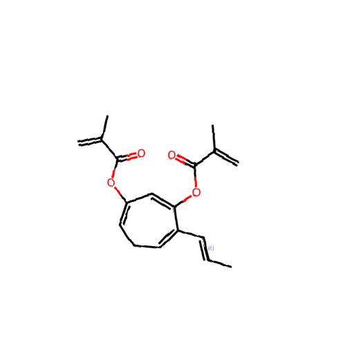 C=C(C)C(=O)OC1=CCC=C(/C=C/C)C(OC(=O)C(=C)C)=C1